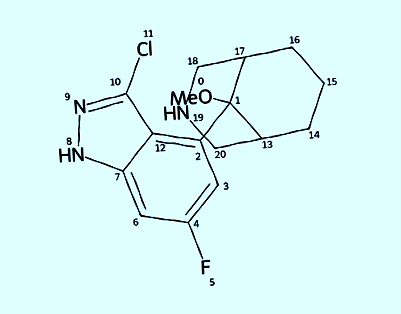 COC1(c2cc(F)cc3[nH]nc(Cl)c23)C2CCCC1CNC2